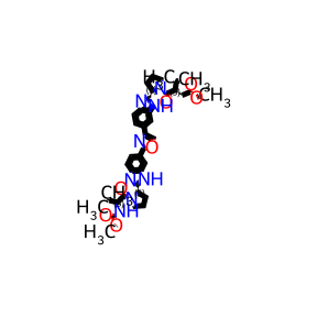 COC(=O)C[C@H](C(=O)N1CCC[C@H]1c1nc2ccc(-c3coc(-c4ccc5nc([C@@H]6CCCN6C(=O)[C@@H](NC(=O)OC)C(C)C)[nH]c5c4)n3)cc2[nH]1)C(C)C